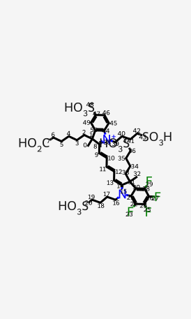 CC1(CCCCCC(=O)O)C(/C=C/C=C/C=C2/N(CCCCS(=O)(=O)O)c3c(F)c(F)c(F)c(F)c3C2(C)CCCCS(=O)(=O)O)=[N+](CCCCS(=O)(=O)O)c2ccc(S(=O)(=O)O)cc21